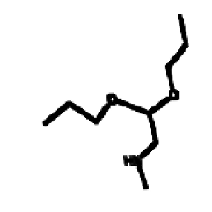 CCCOC(CNC)OCCC